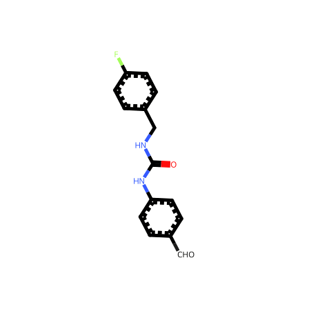 O=Cc1ccc(NC(=O)NCc2ccc(F)cc2)cc1